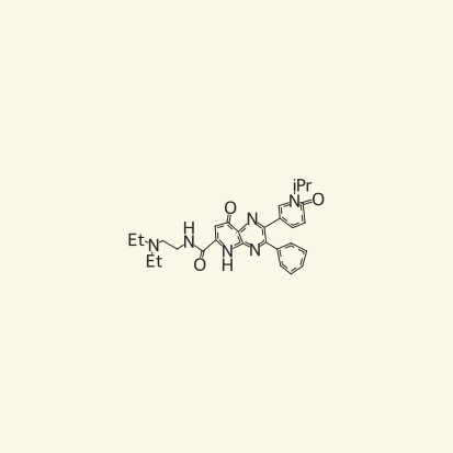 CCN(CC)CCNC(=O)c1cc(=O)c2nc(-c3ccc(=O)n(C(C)C)c3)c(-c3ccccc3)nc2[nH]1